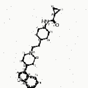 O=C(NC1CCC(CCN2CCC(c3coc4ccccc34)CC2)CC1)C1CC1